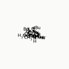 CC(C)(C)OC(=O)N1[C@H](CBr)[C@H]2OC(C)(C)O[C@H]2[C@@H]1c1c[nH]c2c(N=[N+]=[N-])ncnc12